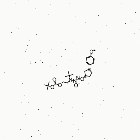 COc1ccc([C@@H]2CC[C@H](ON=[N+]([O-])N(CCOC(=O)OC(C)(C)C)C(C)(C)C)C2)cc1